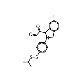 Cc1ccc2c(c1)C(C(=O)C=O)N(c1ccc(SSC(C)C)cc1)C2